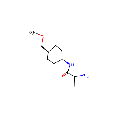 CC(N)C(=O)N[C@H]1CC[C@@H](CO[N+](=O)[O-])CC1